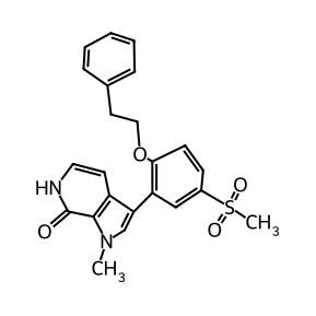 Cn1cc(-c2cc(S(C)(=O)=O)ccc2OCCc2ccccc2)c2cc[nH]c(=O)c21